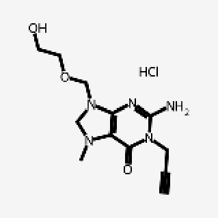 C#CCn1c(N)nc2c(c1=O)N(C)CN2COCCO.Cl